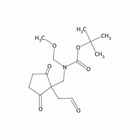 COCN(CC1(CC=O)C(=O)CCC1=O)C(=O)OC(C)(C)C